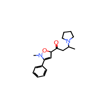 CC(CC(=O)C1C=C(c2ccccc2)N(C)O1)N1CCCC1